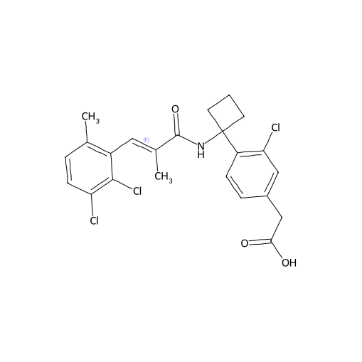 C/C(=C\c1c(C)ccc(Cl)c1Cl)C(=O)NC1(c2ccc(CC(=O)O)cc2Cl)CCC1